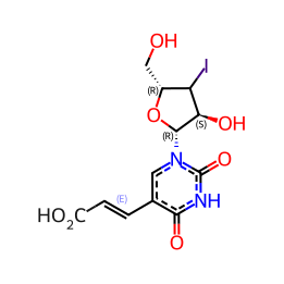 O=C(O)/C=C/c1cn([C@@H]2O[C@H](CO)C(I)[C@H]2O)c(=O)[nH]c1=O